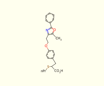 CCCSC(Cc1ccc(OCCc2nc(-c3ccccc3)oc2C)cc1)C(=O)O